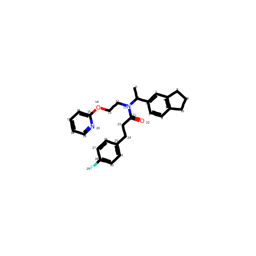 CC(c1ccc2c(c1)CCC2)N(CCOc1ccccn1)C(=O)CCc1ccc(F)cc1